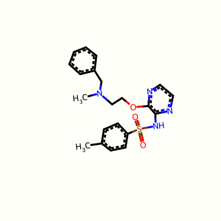 Cc1ccc(S(=O)(=O)Nc2nccnc2OCCN(C)Cc2ccccc2)cc1